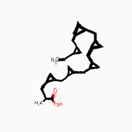 CCC1CC1CC1CC1CC1CC1CC1CC1CC1CC1CC1CC1CC(C)C(=O)O